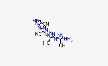 C#CC1=C(N)N=N/C1=N\C1=C(C#C)C(=N/C2=C(C#N)C(=N/c3n[nH]cc3C#N)/N=N2)/N=N1